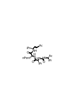 CCCCC[C@H](NC(=O)[C@@H](NC(=O)N[C@H](C(C)=O)C(C)C)C(C)C)C(=O)N[C@H](/C=C/C(C)=O)C(C)C